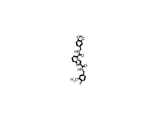 Cc1cc(CNC(=O)c2cn3c(C(=O)NCc4ccc5c(c4)OCO5)cccc3n2)ccc1F